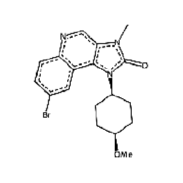 CO[C@H]1CC[C@@H](n2c(=O)n(C)c3cnc4ccc(Br)cc4c32)CC1